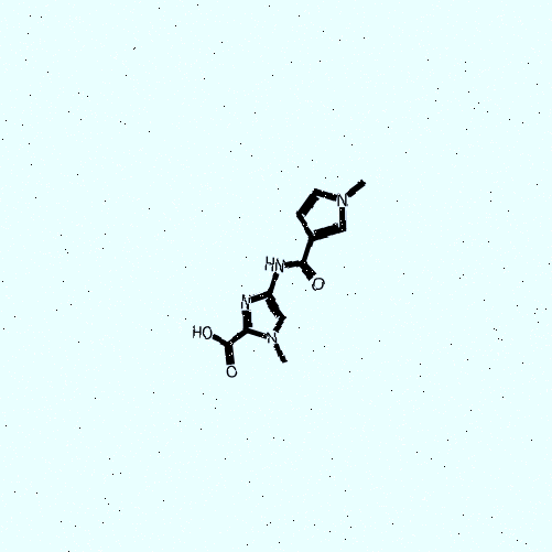 Cn1ccc(C(=O)Nc2cn(C)c(C(=O)O)n2)c1